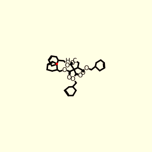 CCC(C(=O)OCC1CC=CCC1)C(C(=O)OCC1CC=CCC1)(C(=O)OCC1CC=CCC1)C(=O)OCC1CC=CCC1